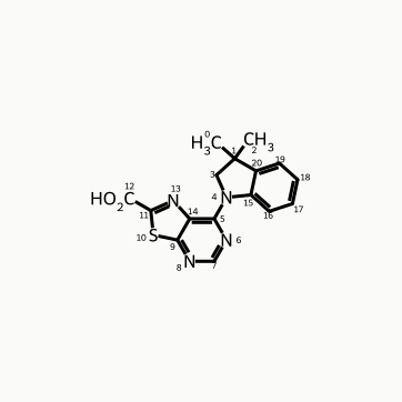 CC1(C)CN(c2ncnc3sc(C(=O)O)nc23)c2ccccc21